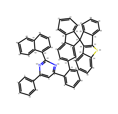 c1ccc(-c2cc(-c3ccccc3-c3ccc4c(c3)C3(c5ccccc5-4)c4ccccc4-c4sc5ccccc5c43)nc(-c3cccc4ccccc34)n2)cc1